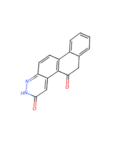 O=C1Cc2ccccc2-c2ccc3n[nH]c(=O)cc3c21